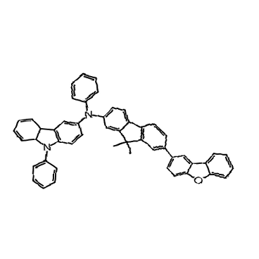 CC1(C)c2cc(-c3ccc4oc5ccccc5c4c3)ccc2-c2ccc(N(c3ccccc3)c3ccc4c(c3)C3C=CC=CC3N4c3ccccc3)cc21